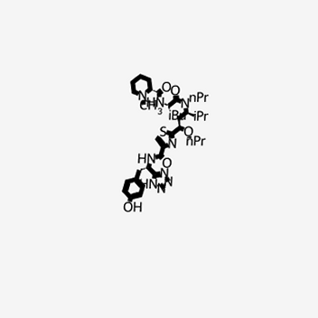 CCCO[C@H](C[C@H](C(C)C)N(CCC)C(=O)[C@@H](NC(=O)[C@H]1CCCCN1C)[C@@H](C)CC)c1nc(C(=O)N[C@@H](Cc2ccc(O)cc2)c2nnn[nH]2)cs1